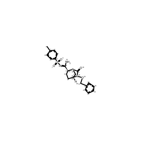 Cc1ccc(S(=O)(=O)N=C(N)[C@@H]2CC[C@@H]3CN2C(=O)N3OCc2ccccc2)cc1